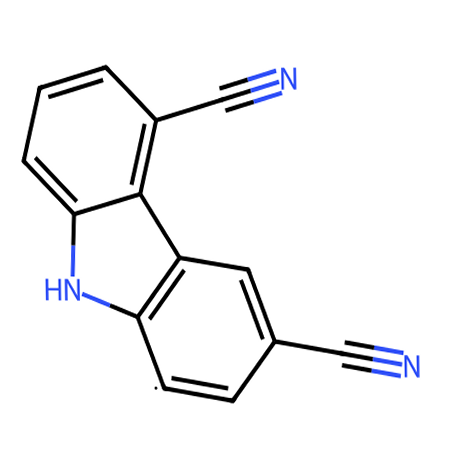 N#Cc1c[c]c2[nH]c3cccc(C#N)c3c2c1